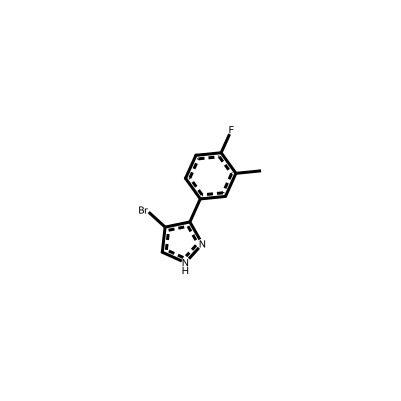 Cc1cc(-c2n[nH]cc2Br)ccc1F